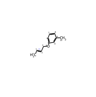 C/C=C/COc1cccc(C)c1